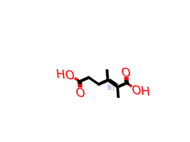 C/C(CCC(=O)O)=C(/C)C(=O)O